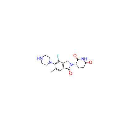 Cc1cc2c(c(F)c1N1CCNCC1)CN(C1CCC(=O)NC1=O)C2=O